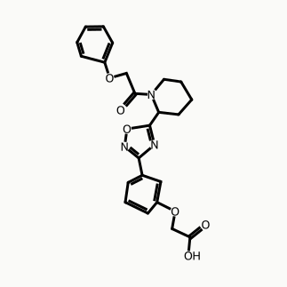 O=C(O)COc1cccc(-c2noc(C3CCCCN3C(=O)COc3ccccc3)n2)c1